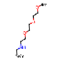 CSCNCCOCCOCCOC(C)C